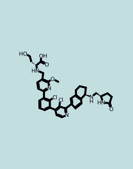 COc1nc(-c2cccc(-c3ccnc(-c4ccc5c(c4)CCC[C@H]5NC[C@H]4CCC(=O)N4)c3Cl)c2Cl)ccc1CN[C@H](CCO)C(=O)O